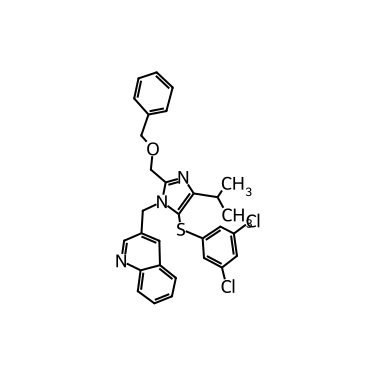 CC(C)c1nc(COCc2ccccc2)n(Cc2cnc3ccccc3c2)c1Sc1cc(Cl)cc(Cl)c1